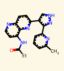 CCC(=O)Nc1ccnc2ccc(-c3c[nH]nc3-c3cccc(C)n3)nc12